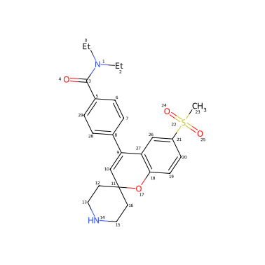 CCN(CC)C(=O)c1ccc(C2=CC3(CCNCC3)Oc3ccc(S(C)(=O)=O)cc32)cc1